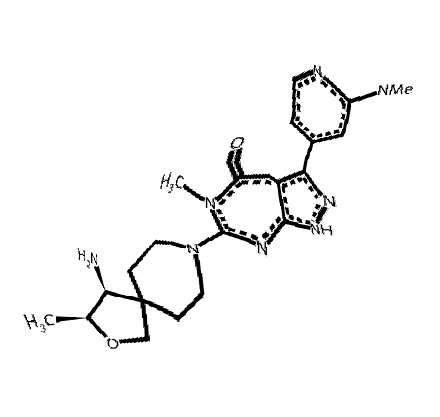 CNc1cc(-c2n[nH]c3nc(N4CCC5(CC4)CO[C@@H](C)[C@H]5N)n(C)c(=O)c23)ccn1